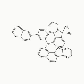 CC1(C)c2ccccc2-c2c(N(c3cccc(-c4ccc5ccccc5c4)c3)c3cccc4ccc5c6ccccc6oc5c34)cccc21